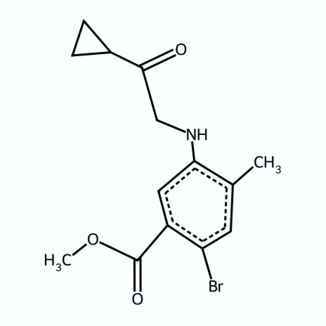 COC(=O)c1cc(NCC(=O)C2CC2)c(C)cc1Br